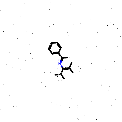 CC(C)=C(/N=C(\C)c1ccccc1)C(C)C